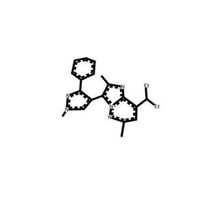 CCC(CC)c1cc(C)nn2c(-c3cn(C)nc3-c3ccccc3)c(C)nc12